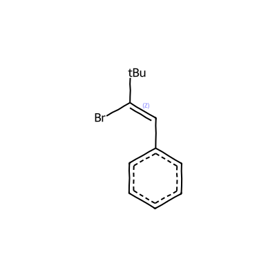 CC(C)(C)/C(Br)=C/c1ccccc1